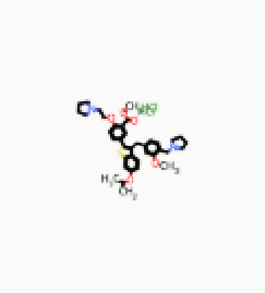 COC(=O)c1cc(-c2sc3cc(OC(C)C)ccc3c2Cc2ccc(CN3CCCC3)c(OC)c2)ccc1OCCN1CCCC1.Cl.Cl